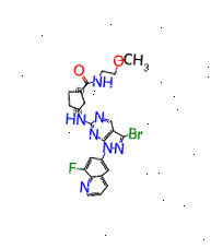 COCCNC(=O)[C@@H]1CC[C@@H](Nc2ncc3c(Br)nn(-c4cc(F)c5ncccc5c4)c3n2)C1